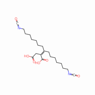 O=C=NCCCCCCCC(CCCCCCCN=C=O)=C(CC(=O)O)C(=O)O